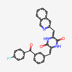 O=C(c1ccc(F)cc1)c1cccc(C=c2[nH]c(=O)c(=Cc3cc4ccccc4cn3)[nH]c2=O)c1